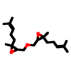 CC(C)=CCCC1(C)OC1COCC1OC1(C)CCC=C(C)C